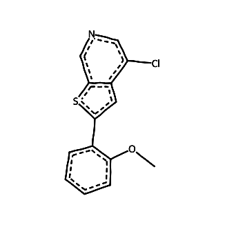 COc1ccccc1-c1cc2c(Cl)cncc2s1